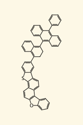 c1ccc(-c2c3ccccc3c(C3=c4ccccc4=C(c4ccc5sc6c(ccc7c6ccc6oc8ccccc8c67)c5c4)CC3)c3ccccc23)cc1